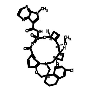 CO[C@H]1C2=CC[C@@H]2CS(=O)(NC(=O)c2cn(C)c3nccnc23)=NC(=O)c2ccc3c(c2)N(C[C@@H]2CC[C@H]21)C[C@@]1(CCCc2cc(Cl)ccc21)CO3